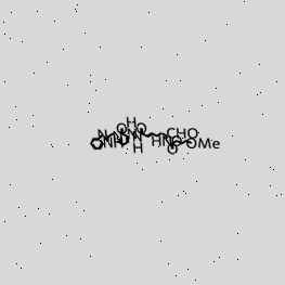 COCCOC(=O)NC(C=O)CCC=CC(=O)NNc1cccn(Cc2nc3ccccc3[nH]2)c1=O